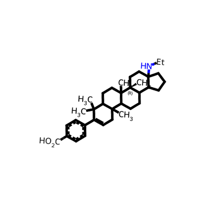 CCNC12CCCC1C1CCC3C4(C)CC=C(c5ccc(C(=O)O)cc5)C(C)(C)C4CCC3(C)[C@]1(C)CC2